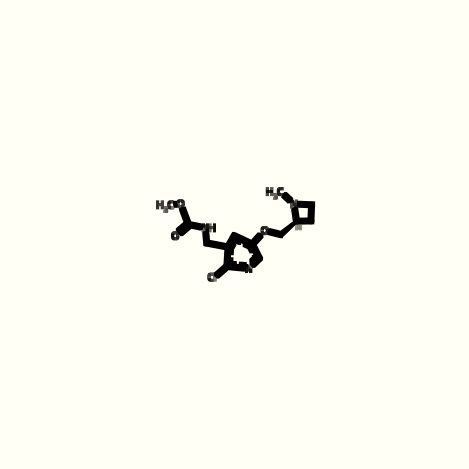 COC(=O)NCc1cc(OC[C@@H]2CCN2C)cnc1Cl